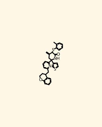 C=C1CC(c2ccsc2)(c2cccc(CC3CCOc4ccccc43)n2)NC(=O)C1Sc1ccccc1C